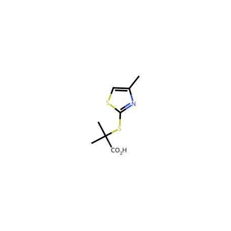 Cc1csc(SC(C)(C)C(=O)O)n1